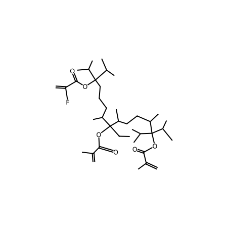 C=C(C)C(=O)OC(CC)(C(C)CCCC(OC(=O)C(=C)F)(C(C)C)C(C)C)C(C)CCC(C)C(OC(=O)C(=C)C)(C(C)C)C(C)C